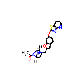 CC(=O)N1C[C@@H]2CC[C@@H]1CN2Cc1cc2ccc(Oc3nc4ncccc4s3)cc2o1